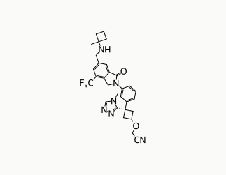 Cn1cnnc1[C@]1(c2cccc(N3Cc4c(cc(CNC5(C)CCC5)cc4C(F)(F)F)C3=O)c2)C[C@H](OCC#N)C1